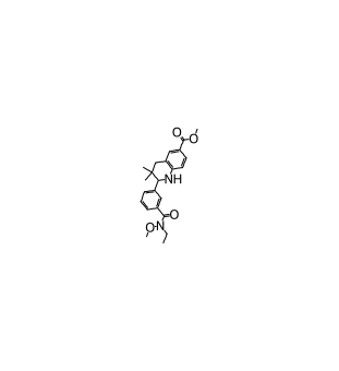 CCN(OC)C(=O)c1cccc(C2Nc3ccc(C(=O)OC)cc3CC2(C)C)c1